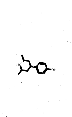 CCCC(CC(C)S)c1ccc(O)cc1